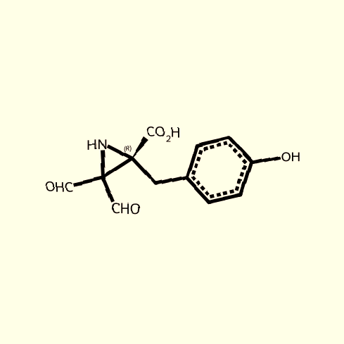 O=CC1(C=O)N[C@@]1(Cc1ccc(O)cc1)C(=O)O